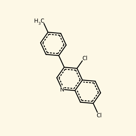 Cc1ccc(-c2cnc3cc(Cl)ccc3c2Cl)cc1